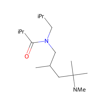 CNC(C)(C)CC(C)CN(CC(C)C)C(=O)C(C)C